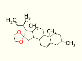 C=C[C@@H](C)[C@H]1C2(CC3C4CC=C5C[C@@H](C)CC[C@]5(C)C4CC[C@@]31C)OCCO2